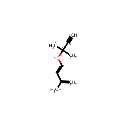 C#CC(C)(C)O/C=C/C(=C)C